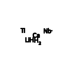 [CaH2].[LiH].[Nb].[Ti]